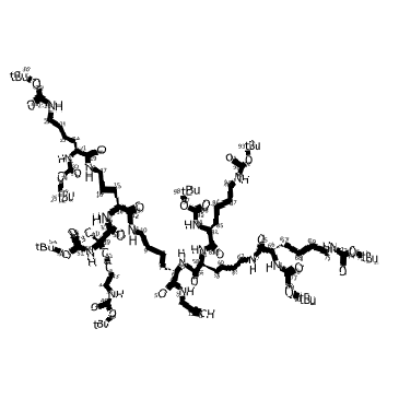 C#CCNC(=O)[C@H](CCCCNC(=O)[C@H](CCCNC(=O)[C@H](CCCCNC(=O)OC(C)(C)C)NC(=O)OC(C)(C)C)NC(=O)[C@](C)(CCCCNC(=O)OC(C)(C)C)NC(=O)OC(C)(C)C)NC(=O)[C@H](CCCCNC(=O)[C@H](CCCCNC(=O)OC(C)(C)C)NC(=O)OC(C)(C)C)NC(=O)[C@H](CCCCNC(=O)OC(C)(C)C)NC(=O)OC(C)(C)C